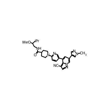 COC(CNC(=O)C1CCN(c2ccc(-c3cc(-c4cnn(C)c4)cn4ncc(C#N)c34)cn2)CC1)C(C)C